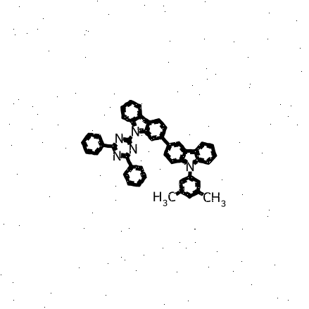 Cc1cc(C)cc(-n2c3ccccc3c3cc(-c4ccc5c6ccccc6n(-c6nc(-c7ccccc7)nc(-c7ccccc7)n6)c5c4)ccc32)c1